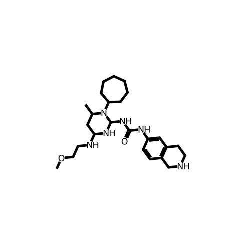 COCCNC1CC(C)N(C2CCCCCC2)C(NC(=O)Nc2ccc3c(c2)CCNC3)N1